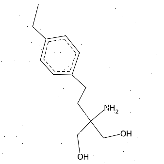 CCc1ccc(CCC(N)(CO)CO)cc1